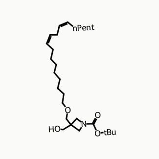 CCCCC/C=C\C/C=C\CCCCCCCCOCC1(CO)CN(C(=O)OC(C)(C)C)C1